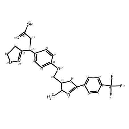 CC1N=C(c2ccc(C(F)(F)F)cc2)SC1COc1ccc([C@H](CC(=O)O)C2=NOCC2)cc1